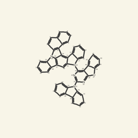 c1ccc2c(c1)ccc1c2c2c3c4ccccc4n(-c4nc(-n5c6ccccc6c6ccccc65)nc5oc6ccccc6c45)c3cc3c4ccccc4n1c32